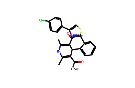 COC(=O)C1=C(C)NC(C)=C(C(=O)OC)C1c1ccccc1-c1nc(-c2ccc(Cl)cc2)cs1